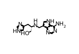 Nc1ncnc2c(CN[C@H](CO)Cc3c[nH]cn3)c[nH]c12